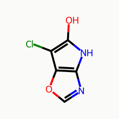 Oc1[nH]c2ncoc2c1Cl